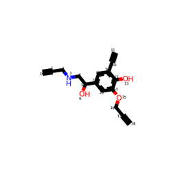 C#CCNCC(O)c1cc(C#C)c(O)c(OCC#C)c1